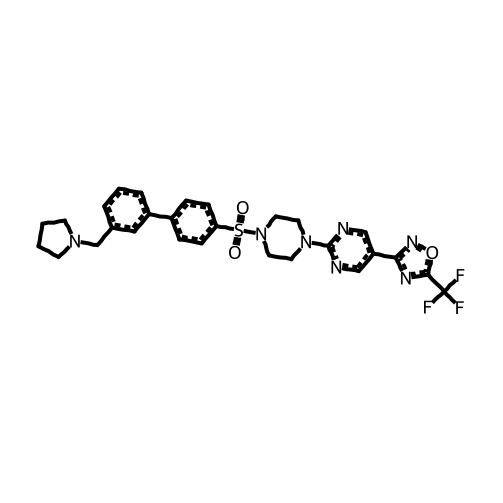 O=S(=O)(c1ccc(-c2cccc(CN3CCCC3)c2)cc1)N1CCN(c2ncc(-c3noc(C(F)(F)F)n3)cn2)CC1